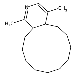 CC1=CN=C(C)C2CCCCCCCCCCC12